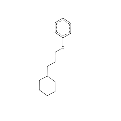 [c]1ccccc1OCCCC1CCCCC1